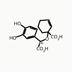 O=C(O)[C@H](OC1(C(=O)O)C=CCCC1)c1ccc(O)c(O)c1